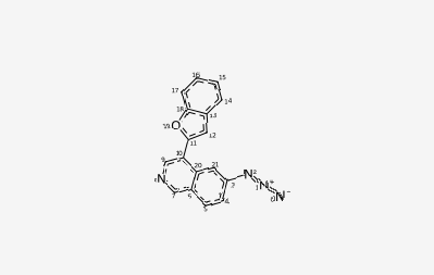 [N-]=[N+]=Nc1ccc2cncc(-c3cc4ccccc4o3)c2c1